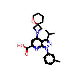 Cc1cccc(-n2nc(C(C)C)c3c(N4CC5(CCCCO5)C4)cc(C(=O)O)nc32)c1